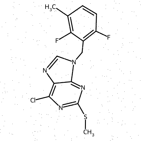 CSc1nc(Cl)c2ncn(Cc3c(F)ccc(C)c3F)c2n1